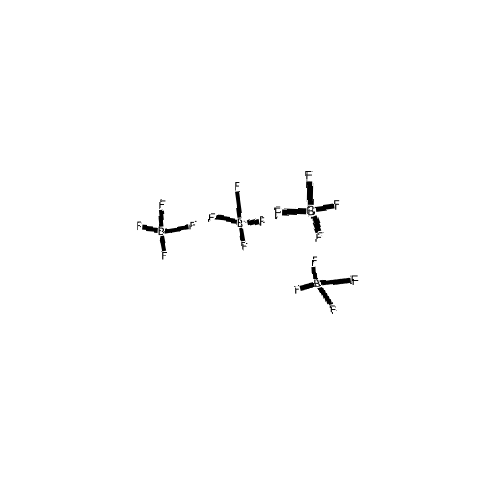 F[B-](F)(F)F.F[B-](F)(F)F.F[B-](F)(F)F.F[B-](F)(F)F